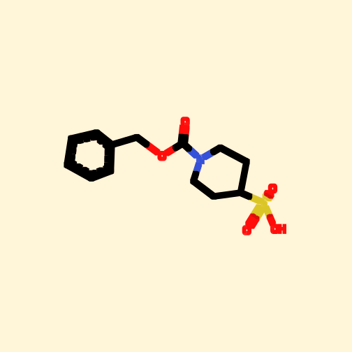 O=C(OCc1ccccc1)N1CCC(S(=O)(=O)O)CC1